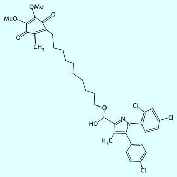 COC1=C(OC)C(=O)C(CCCCCCCCCCOC(O)c2nn(-c3ccc(Cl)cc3Cl)c(-c3ccc(Cl)cc3)c2C)=C(C)C1=O